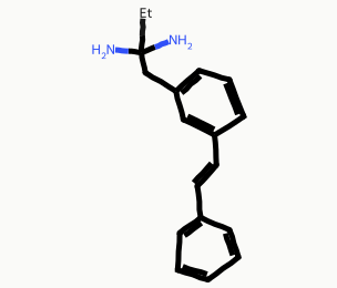 CCC(N)(N)Cc1cccc(C=Cc2ccccc2)c1